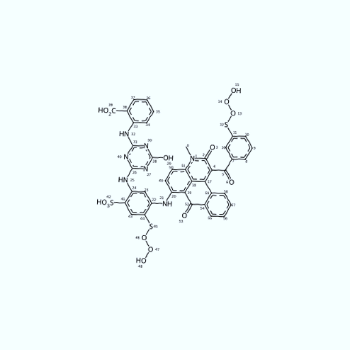 Cn1c(=O)c(C(=O)c2cccc(SOOO)c2)c2c3c(c(Nc4cc(Nc5nc(O)nc(Nc6ccccc6C(=O)O)n5)c(S(=O)(=O)O)cc4SOOO)ccc31)C(=O)c1ccccc1-2